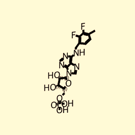 Cc1ccc(CNc2ncnc3c2ncn3[C@@H]2O[C@H](COP(=O)(O)O)[C@@H](O)[C@H]2O)c(F)c1F